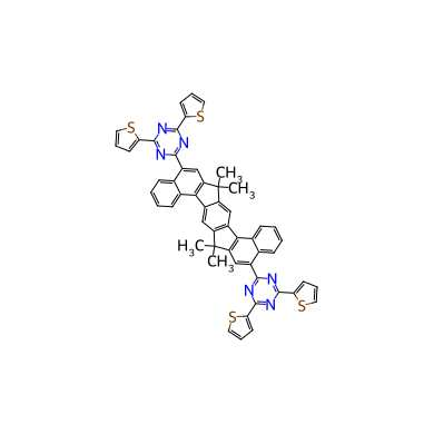 CC1(C)c2cc3c(cc2-c2c1cc(-c1nc(-c4cccs4)nc(-c4cccs4)n1)c1ccccc21)C(C)(C)c1cc(-c2nc(-c4cccs4)nc(-c4cccs4)n2)c2ccccc2c1-3